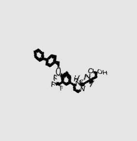 N[C@@](I)(CC(=O)O)c1nccc(-c2ccc(OCc3ccc(-c4ccccc4)cc3)c(C(F)(F)F)c2)n1